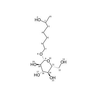 CC(O)CCCCCO[C@@H]1O[C@H](CO)[C@@H](O)[C@H](O)[C@H]1O